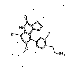 COc1cc(Br)c2[nH]c(=O)c3sccc3c2c1-c1ccc(CCN)c(F)c1